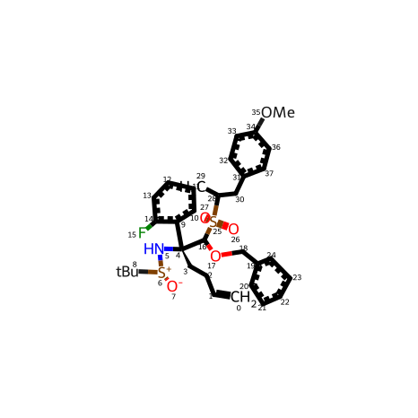 C=CCC[C@@](N[S+]([O-])C(C)(C)C)(c1ccccc1F)C(OCc1ccccc1)S(=O)(=O)C(C)Cc1ccc(OC)cc1